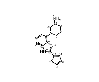 NC1CCCN(c2ccnc3[nH]c(-c4cccs4)nc23)C1